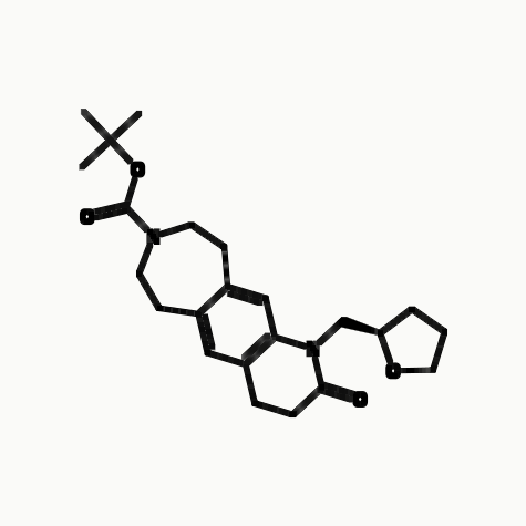 CC(C)(C)OC(=O)N1CCc2cc3c(cc2CC1)N(C[C@H]1CCCO1)C(=O)CC3